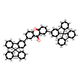 O=c1c2cc(-c3ccc4c(c3)-c3ccccc3C43c4ccccc4-c4ccccc43)ccc2oc2ccc(-c3ccc4c(c3)-c3ccccc3C43c4ccccc4-c4ccccc43)cc12